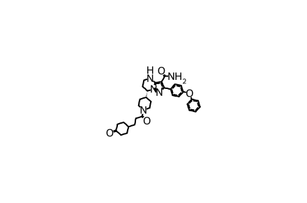 NC(=O)c1c(-c2ccc(Oc3ccccc3)cc2)nn2c1NCC[C@H]2C1CCN(C(=O)CCC2CCC(=O)CC2)CC1